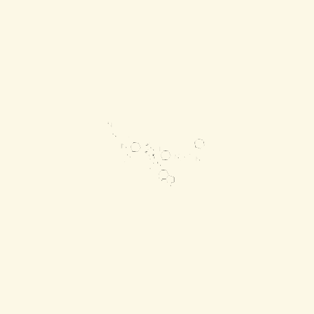 CC(C)c1ccccc1[C@@H]1CCCN1C1CC2(C1)CN(c1ccc(C(=O)NS(=O)(=O)c3cc4c(c([N+](=O)[O-])c3)N[C@H](CN3CCN(C)CC3)CO4)c(N3c4cc5cc[nH]c5nc4O[C@H]4COC[C@@H]43)c1)C2